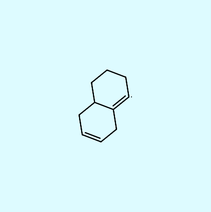 [C]1=C2CC=CCC2CCC1